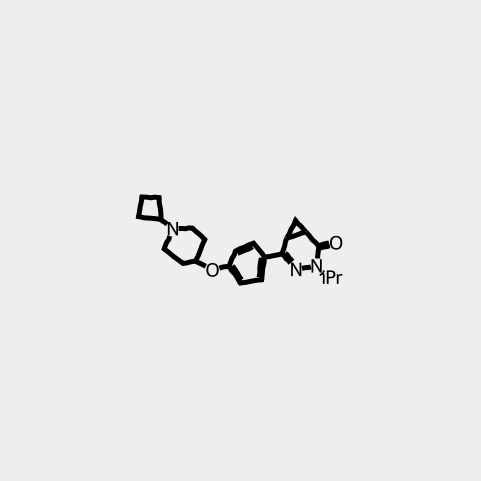 CC(C)N1N=C(c2ccc(OC3CCN(C4CCC4)CC3)cc2)C2CC2C1=O